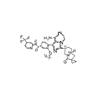 COc1cc(C(=O)Nc2cc(C(F)(F)F)ccn2)ccc1-c1nc([C@H]2CC[C@@H]3CC4(CC4)C(=O)N3C2)n2ccnc(N)c12